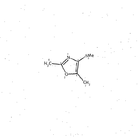 CSc1nc(C)oc1C